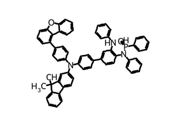 CC1(C)c2ccccc2-c2ccc(N(c3ccc(-c4ccc(N(c5ccccc5)[PH](=O)c5ccccc5)c(Nc5ccccc5)c4)cc3)c3ccc(-c4cccc5oc6ccccc6c45)cc3)cc21